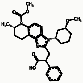 COC(=O)N1c2ccc3c(nc(C[C@H](C(=O)O)c4ccccc4)n3[C@H]3CCC[C@H](OC)C3)c2CC[C@@H]1C